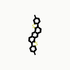 Cc1ccc2c(c1)sc1c3cc4ccc5c6ccc(C)cc6sc5c4cc3ccc21